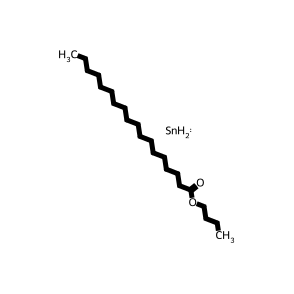 CCCCCCCCCCCCCCCCCC(=O)OCCCC.[SnH2]